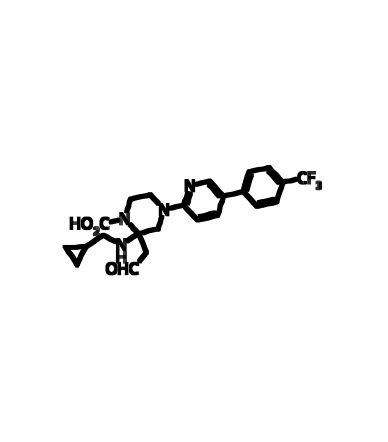 O=CCC1(NCC2CC2)CN(c2ccc(-c3ccc(C(F)(F)F)cc3)cn2)CCN1C(=O)O